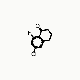 O=C1CCCc2cc(Cl)cc(F)c21